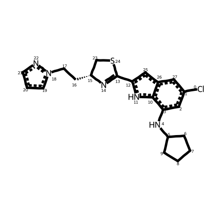 Clc1cc(NC2CCCC2)c2[nH]c(C3=N[C@H](CCn4cccn4)CS3)cc2c1